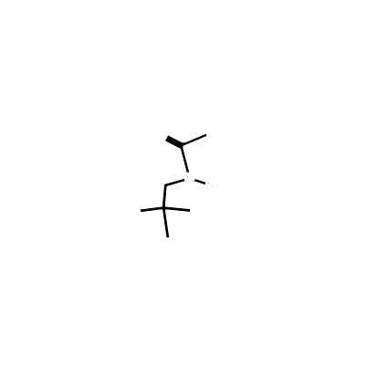 CC(C)(C)CN(N)C(=O)O